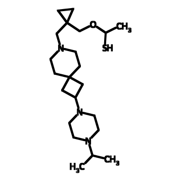 CC(S)OCC1(CN2CCC3(CC2)CC(N2CCN(C(C)C)CC2)C3)CC1